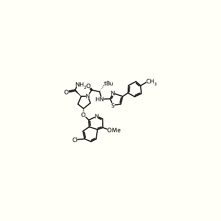 COc1cnc(O[C@@H]2C[C@@H](C(N)=O)N(C(=O)[C@@H](Nc3nc(-c4ccc(C)cc4)cs3)C(C)(C)C)C2)c2cc(Cl)ccc12